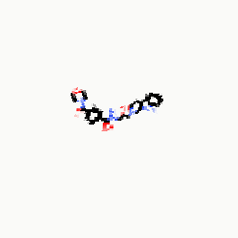 O=C(NCC(O)CN1CCc2c([nH]c3ccccc23)C1)c1ccc(C(=O)N2CCOCC2)cc1